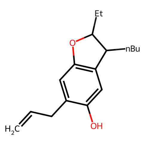 C=CCc1cc2c(cc1O)C(CCCC)C(CC)O2